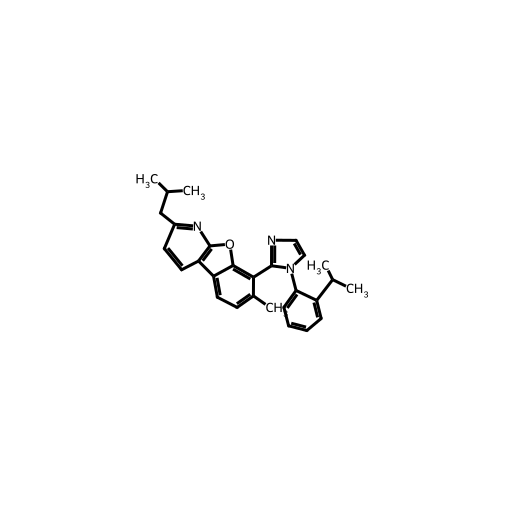 Cc1ccc2c(oc3nc(CC(C)C)ccc32)c1-c1nccn1-c1ccccc1C(C)C